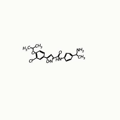 CC(C)Oc1ccc(-c2cc(C(=O)Nc3ccc(C(C)N)cc3)no2)cc1Cl